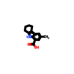 Cc1cc(C(=O)O)c2[nH]c3c(c2c1)CCCC3